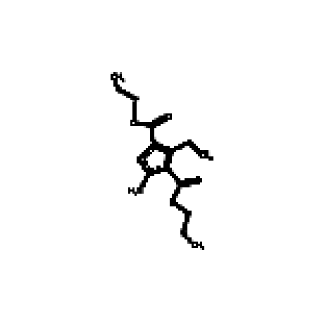 CCCOC(=O)c1sc(N)c(C(=O)OCCC)c1CC